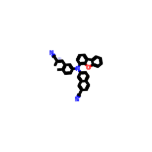 C/C(C#N)=C\c1cc(N(c2ccc3ccc(C#N)cc3c2)c2cccc3c2oc2ccccc23)ccc1C